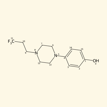 Oc1ccc(N2CCN(CCC(F)(F)F)CC2)cc1